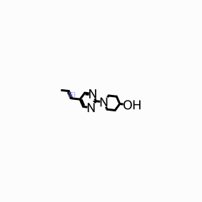 C/C=C/c1cnc(N2CCC(O)CC2)nc1